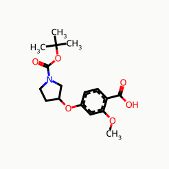 COc1cc(OC2CCN(C(=O)OC(C)(C)C)C2)ccc1C(=O)O